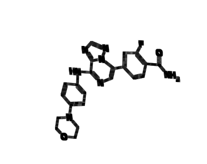 NC(=O)c1ccc(-c2cnc(Nc3ccc(N4CCOCC4)cc3)c3ncnn23)cc1F